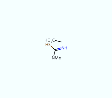 CC(=O)O.CNC(=N)S